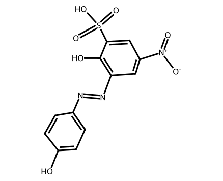 O=[N+]([O-])c1cc(N=Nc2ccc(O)cc2)c(O)c(S(=O)(=O)O)c1